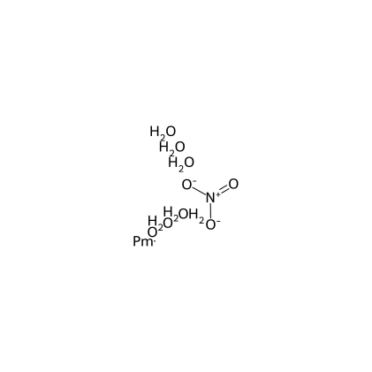 O.O.O.O.O.O.O=[N+]([O-])[O-].[Pm]